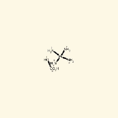 O=C(O)O.[NH2][Pt]([NH2])([NH2])[NH2]